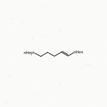 [CH2]CCCCCC=CCCCCCCCCC[CH2]